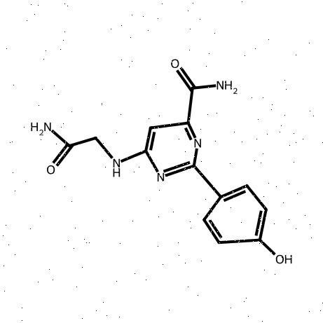 NC(=O)CNc1cc(C(N)=O)nc(-c2ccc(O)cc2)n1